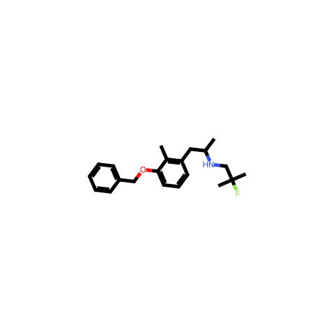 Cc1c(CC(C)NCC(C)(C)F)cccc1OCc1ccccc1